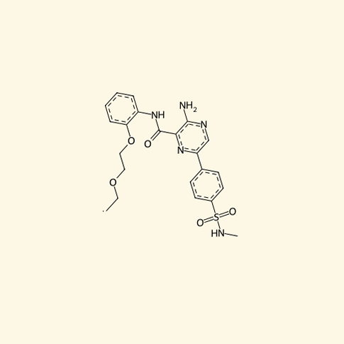 [CH2]COCCOc1ccccc1NC(=O)c1nc(-c2ccc(S(=O)(=O)NC)cc2)cnc1N